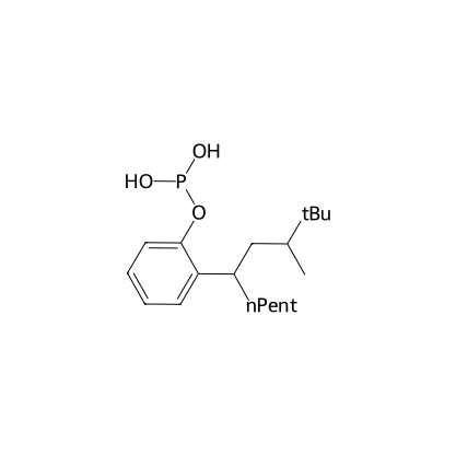 CCCCCC(CC(C)C(C)(C)C)c1ccccc1OP(O)O